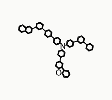 c1ccc(-c2cccc(-c3ccc(N(c4ccc(-c5ccc(-c6cccc(-c7ccc8ccccc8c7)c6)cc5)cc4)c4ccc(-c5ccc6oc7ccccc7c6c5)cc4)cc3)c2)cc1